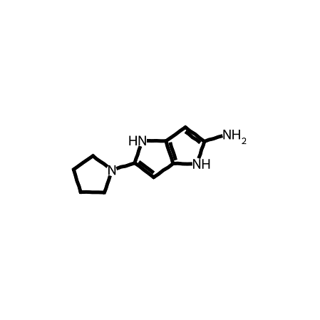 Nc1cc2[nH]c(N3CCCC3)cc2[nH]1